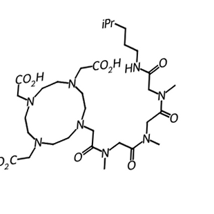 CC(C)CCCNC(=O)CN(C)C(=O)CN(C)C(=O)CN(C)C(=O)CN1CCN(CC(=O)O)CCN(CC(=O)O)CCN(CC(=O)O)CC1